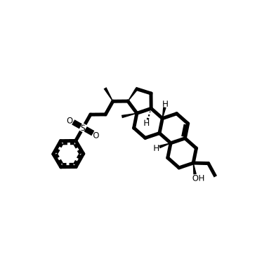 CC[C@]1(O)CC[C@H]2C(=CC[C@@H]3C2CC[C@]2(C)[C@@H]([C@H](C)CCS(=O)(=O)c4ccccc4)CC[C@@H]32)C1